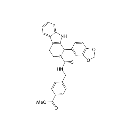 COC(=O)c1ccc(CNC(=S)N2CCc3c([nH]c4ccccc34)[C@H]2c2ccc3c(c2)OCO3)cc1